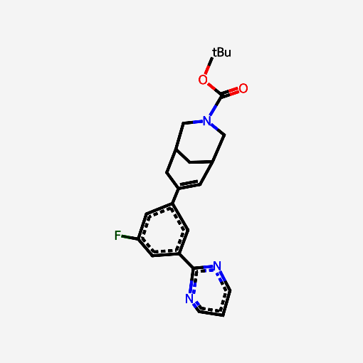 CC(C)(C)OC(=O)N1CC2C=C(c3cc(F)cc(-c4ncccn4)c3)CC(C2)C1